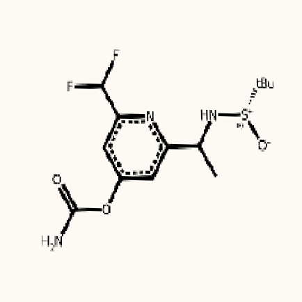 CC(N[S@@+]([O-])C(C)(C)C)c1cc(OC(N)=O)cc(C(F)F)n1